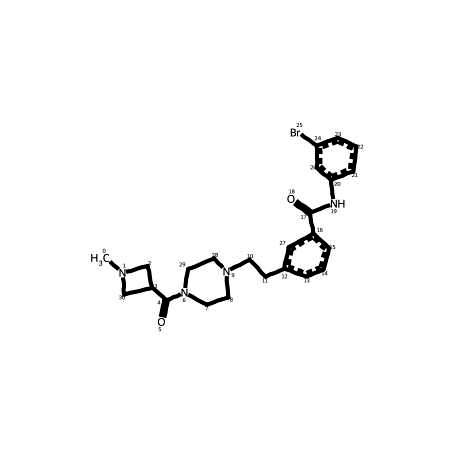 CN1CC(C(=O)N2CCN(CCc3cccc(C(=O)Nc4cccc(Br)c4)c3)CC2)C1